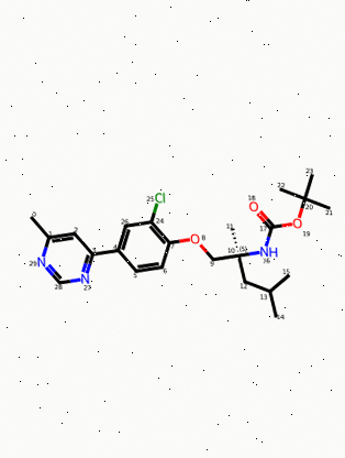 Cc1cc(-c2ccc(OC[C@](C)(CC(C)C)NC(=O)OC(C)(C)C)c(Cl)c2)ncn1